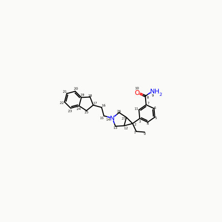 CCC1(c2cccc(C(N)=O)c2)C2CN(CCC3Cc4ccccc4C3)CC21